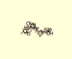 Cc1ccc([C@@H](C)Nc2nc(N3CC([C@H]4CCCN([C@H]5C[C@](C)(C(=O)O)C5)C4)C3)ncc2Cl)c(Cl)c1